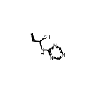 C=CC(S)Nc1ncncn1